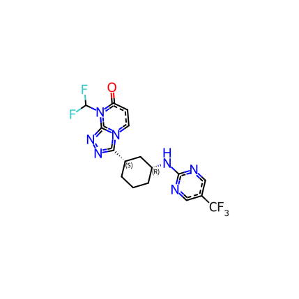 O=c1ccn2c([C@H]3CCC[C@@H](Nc4ncc(C(F)(F)F)cn4)C3)nnc2n1C(F)F